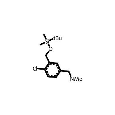 CNCc1ccc(Cl)c(CO[Si](C)(C)C(C)(C)C)c1